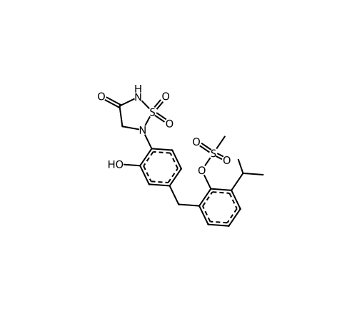 CC(C)c1cccc(Cc2ccc(N3CC(=O)NS3(=O)=O)c(O)c2)c1OS(C)(=O)=O